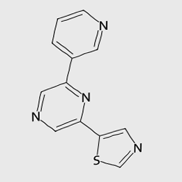 c1cncc(-c2cncc(-c3cncs3)n2)c1